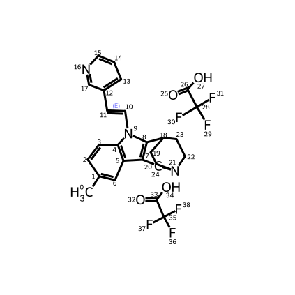 Cc1ccc2c(c1)c1c(n2/C=C/c2cccnc2)C2CCN(CC2)C1.O=C(O)C(F)(F)F.O=C(O)C(F)(F)F